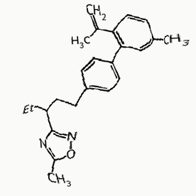 C=C(C)c1ccc(C)cc1-c1ccc(CCC(CC)c2noc(C)n2)cc1